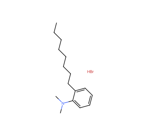 Br.CCCCCCCCc1ccccc1N(C)C